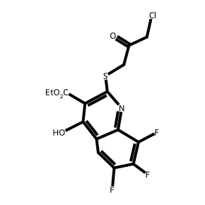 CCOC(=O)c1c(SCC(=O)CCl)nc2c(F)c(F)c(F)cc2c1O